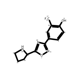 Oc1ccc(-c2noc(C3CCCN3)n2)cc1C(F)(F)F